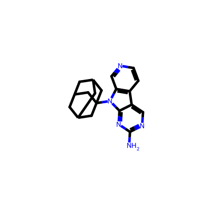 Nc1ncc2c3ccncc3n(C34CC5CC(CC(C5)C3)C4)c2n1